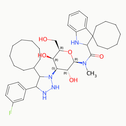 CN(C(=O)C1Nc2ccccc2C12CCCCCCC2)[C@@H]1O[C@H](CO)[C@H](O)[C@H](N2NNC(c3cccc(F)c3)C2C2CCCCCCCC2)[C@H]1O